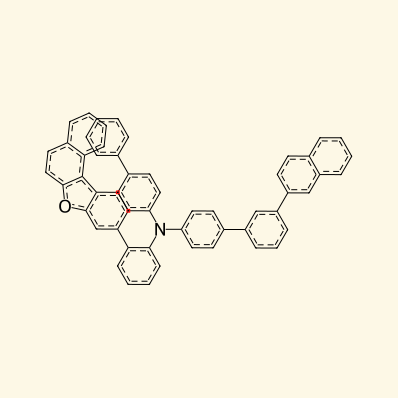 c1ccc(-c2ccc(N(c3ccc(-c4cccc(-c5ccc6ccccc6c5)c4)cc3)c3ccccc3-c3ccc4c(c3)oc3ccc5ccccc5c34)cc2)cc1